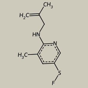 C=C(C)CNc1ncc(SF)cc1C